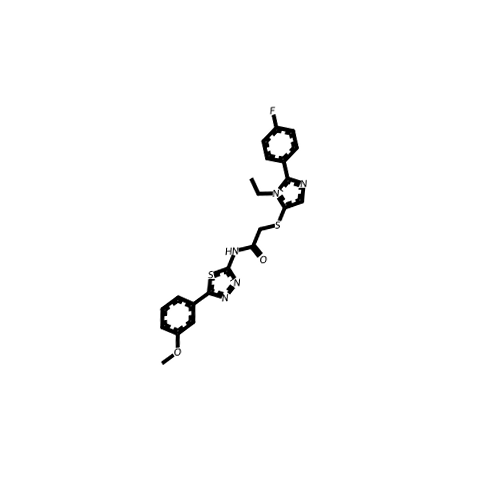 CCn1c(SCC(=O)Nc2nnc(-c3cccc(OC)c3)s2)cnc1-c1ccc(F)cc1